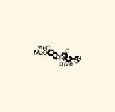 COC1Cc2[nH]c(N3C=C4CC(OC)C(OC)C=C4CC3)cc(=O)c2C=C1c1cnco1